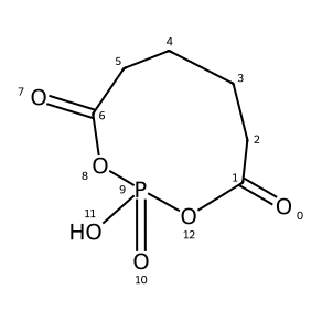 O=C1CCCCC(=O)OP(=O)(O)O1